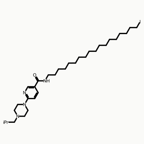 CC(C)CN1CCN(c2ccc(C(=O)NCCCCCCCCCCCCCCCCCCI)cn2)CC1